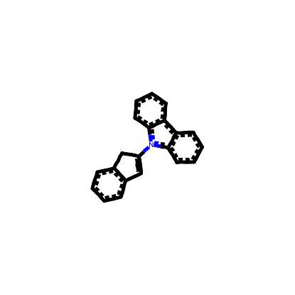 C1=C(n2c3ccccc3c3ccccc32)Cc2ccccc21